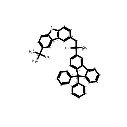 CC(C)(C)c1ccc2sc3ccc(CC(C)(C)c4ccc5c(c4)-c4ccccc4C5(c4ccccc4)c4ccccc4)cc3c2c1